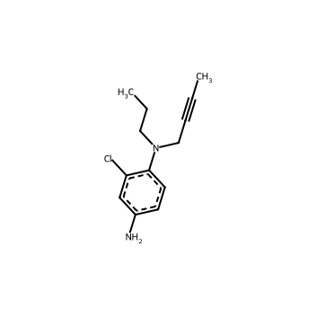 CC#CCN(CCC)c1ccc(N)cc1Cl